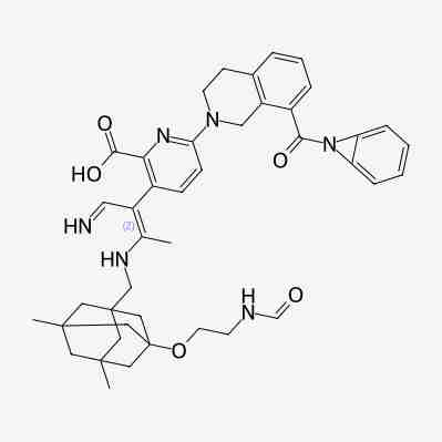 C/C(NCC12CC3(C)CC(C)(C1)CC(OCCNC=O)(C3)C2)=C(/C=N)c1ccc(N2CCc3cccc(C(=O)N4c5ccccc54)c3C2)nc1C(=O)O